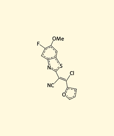 COc1cc2sc(C(C#N)=C(Cl)c3ccco3)nc2cc1F